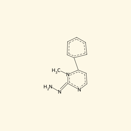 Cn1c(-c2ccccc2)ccnc1=NN